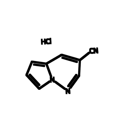 Cl.N#Cc1cnn2cccc2c1